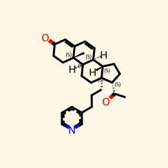 CC(=O)[C@H]1CC[C@H]2[C@@H]3C=CC4=CC(=O)CC[C@@]4(C)[C@@H]3CC[C@]12CCCc1cccnc1